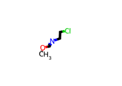 COC=NCCCl